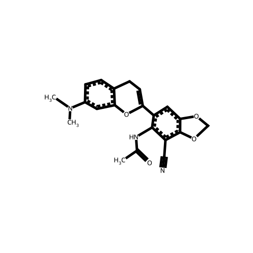 CC(=O)Nc1c(C2=CCc3ccc(N(C)C)cc3O2)cc2c(c1C#N)OCO2